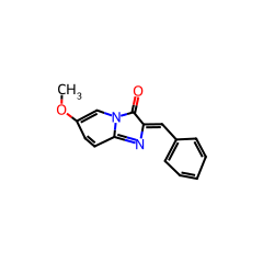 COC1=CN2C(=O)C(=Cc3ccccc3)N=C2C=C1